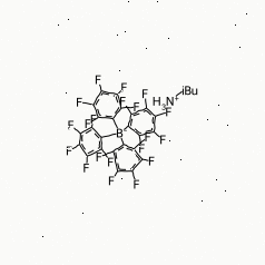 CCC(C)[NH3+].Fc1c(F)c(F)c([B-](c2c(F)c(F)c(F)c(F)c2F)(c2c(F)c(F)c(F)c(F)c2F)c2c(F)c(F)c(F)c(F)c2F)c(F)c1F